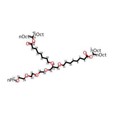 CCCCCCCCC(CCCCCCCC)OC(=O)CCCCCCCOCC(COCCOCCOCCOCCC)OCCCCCCCC(=O)OC(CCCCCCCC)CCCCCCCC